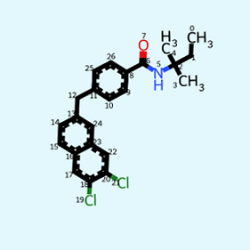 CCC(C)(C)NC(=O)c1ccc(Cc2ccc3cc(Cl)c(Cl)cc3c2)cc1